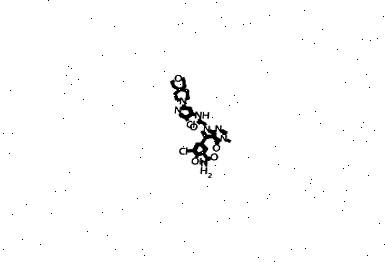 Cn1cnc2c(c(-c3cc(Cl)c(O)c(C(N)=O)c3)cn2CC(=O)Nc2cc(N3CCC4(CCOCC4)CC3)ncc2Cl)c1=O